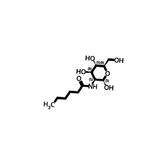 CCCCCC(=O)N[C@H]1[C@@H](O)[C@H](O)[C@@H](CO)O[C@@H]1O